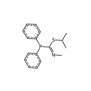 C/N=C(\SC(C)C)P(c1ccccc1)c1ccccc1